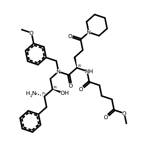 COC(=O)CCCC(=O)N[C@H](CCC(=O)N1CCCCC1)C(=O)N(Cc1cccc(OC)c1)C[C@@H](O)[C@@H](N)Cc1ccccc1